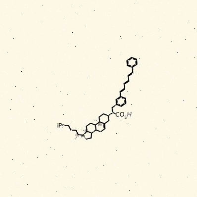 CC(C)CCC[C@@H](C)[C@H]1CCC2C3CC=C4CC(C(Cc5cccc(C=CC=CC=Cc6ccccc6)c5)C(=O)O)CC[C@]4(C)C3CC[C@@]21C